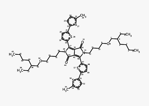 CCCCC(CC)COCCCCN1C(=O)C2=C(c3ccc(-c4ccc(C)s4)s3)N(CCCCOCC(CC)CCCC)C(=O)C2=C1c1ccc(-c2ccc(C)s2)s1